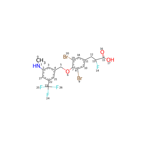 CNc1cc(COc2c(Br)cc(CC(F)C(=O)O)cc2Br)cc(C(F)(F)F)c1